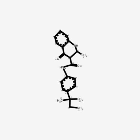 CC1Nc2ccccc2C(=O)C1C(=O)Nc1ccc(C(C)(C)CN)cc1